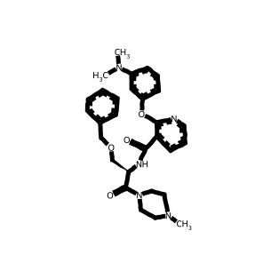 CN1CCN(C(=O)[C@@H](COCc2ccccc2)NC(=O)c2cccnc2Oc2cccc(N(C)C)c2)CC1